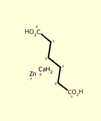 O=C(O)CCCCC(=O)O.[CaH2].[Zn]